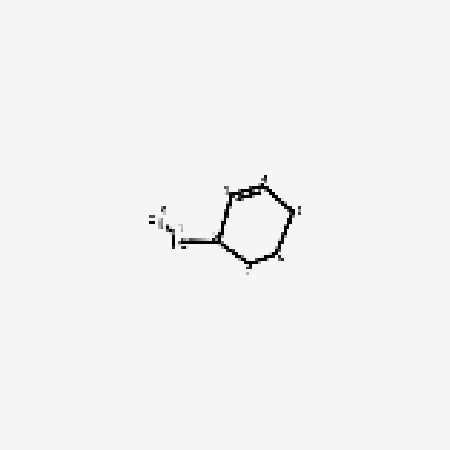 CC[Te]C1C=CCCC1